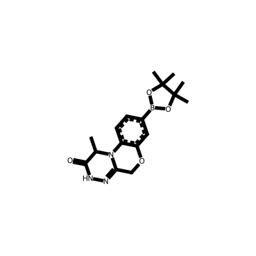 CC1C(=O)NN=C2COc3cc(B4OC(C)(C)C(C)(C)O4)ccc3N21